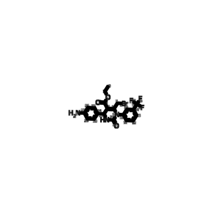 CCOC(=O)C1=C(CBr)N(c2cccc(C(F)(F)F)c2)C(=O)NC1c1ccc(N)cc1